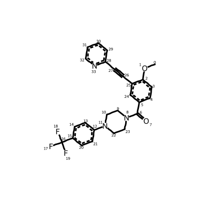 COc1ccc(C(=O)N2CCN(c3ccc(C(F)(F)F)cc3)CC2)cc1C#Cc1ccccn1